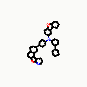 c1ccc(-c2cccc(N(c3ccc(-c4ccc5ccc6oc7ncccc7c6c5c4)cc3)c3ccc4oc5ccccc5c4c3)c2)cc1